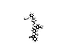 COc1ccccc1N1CCN(CCC(Oc2ccc(C(=O)c3c[nH]c4ccccc34)cc2)c2ccc(C)cc2)CC1.Cl